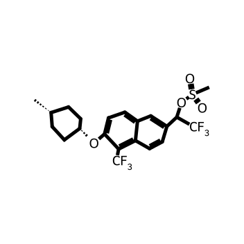 CS(=O)(=O)OC(c1ccc2c(C(F)(F)F)c(O[C@H]3CC[C@@H](C)CC3)ccc2c1)C(F)(F)F